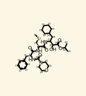 CSC[C@H](NC(=O)[C@H](Cc1ccccc1)NC(=O)N1CCOCC1)C(=O)NC(CC1CCCCC1)C(O)C(=O)OC(C)C